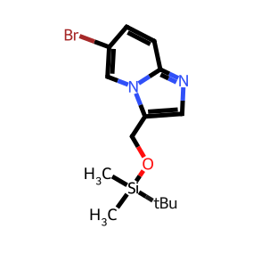 CC(C)(C)[Si](C)(C)OCc1cnc2ccc(Br)cn12